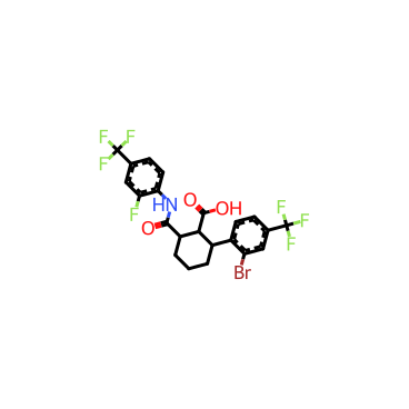 O=C(Nc1ccc(C(F)(F)F)cc1F)C1CCCC(c2ccc(C(F)(F)F)cc2Br)C1C(=O)O